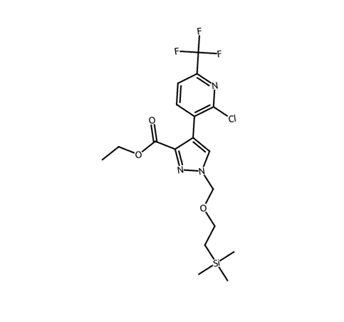 CCOC(=O)c1nn(COCC[Si](C)(C)C)cc1-c1ccc(C(F)(F)F)nc1Cl